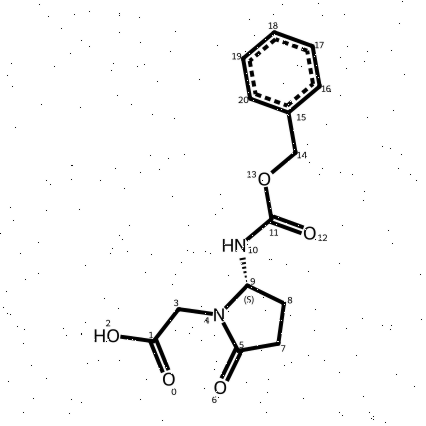 O=C(O)CN1C(=O)CC[C@H]1NC(=O)OCc1ccccc1